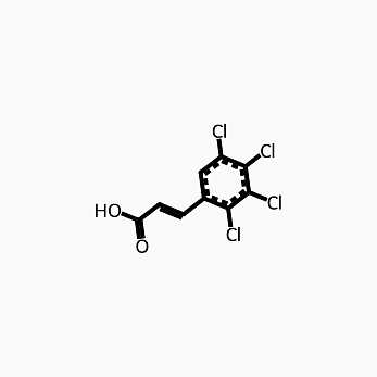 O=C(O)C=Cc1cc(Cl)c(Cl)c(Cl)c1Cl